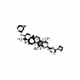 CC(C)[C@@H](OC(=O)N1CCC1)[C@H]1C[C@@H](C)[C@H]2[C@H](O1)[C@H](O)[C@@]1(C)[C@@H]3CC[C@H]4C(C)(C)C(O[C@H]5CNCCO5)CC[C@@]45CC35CC[C@]21C